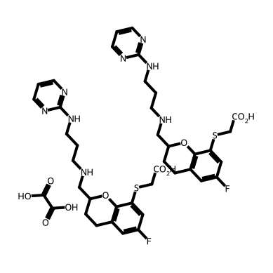 O=C(O)C(=O)O.O=C(O)CSc1cc(F)cc2c1OC(CNCCCNc1ncccn1)CC2.O=C(O)CSc1cc(F)cc2c1OC(CNCCCNc1ncccn1)CC2